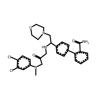 CN(CC(=O)CNC(CN1CCOCC1)c1ccc(-c2ccccc2C(N)=O)cc1)c1ccc(Cl)c(Cl)c1